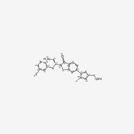 CSCc1cc(-c2ccc3c(c2)CN([C@H](CN)Cc2cccc(F)c2)C3=O)n(C)n1